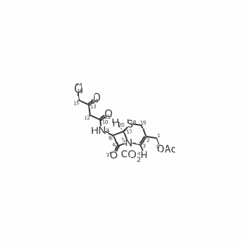 CC(=O)OCC1=C(C(=O)O)N2C(=O)C(NC(=O)CC(=O)CCl)[C@H]2SC1